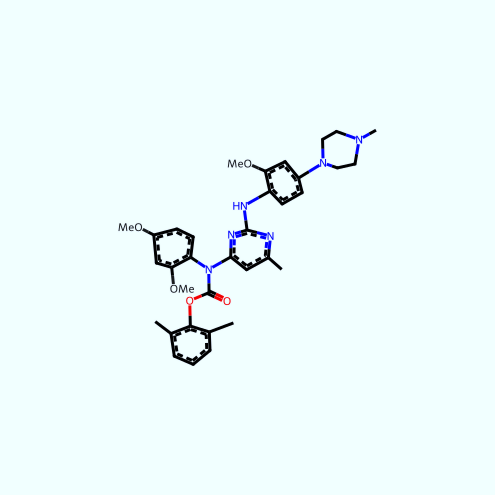 COc1ccc(N(C(=O)Oc2c(C)cccc2C)c2cc(C)nc(Nc3ccc(N4CCN(C)CC4)cc3OC)n2)c(OC)c1